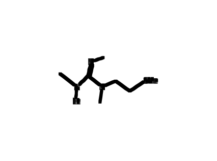 CCN(C)/C(=N/C)N(C)CCSC